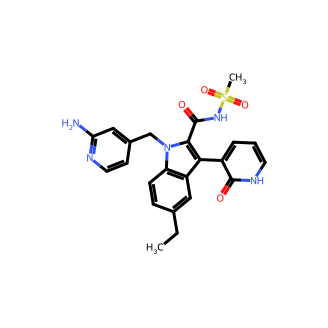 CCc1ccc2c(c1)c(-c1ccc[nH]c1=O)c(C(=O)NS(C)(=O)=O)n2Cc1ccnc(N)c1